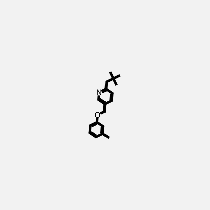 Cc1cccc(OCc2ccc(CC(C)(C)C)nc2)c1